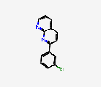 Brc1cccc(-c2ccc3cccnc3n2)c1